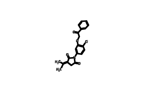 CC(C)=C1CC(=O)N(c2ccc(Cl)c(OCC(=O)c3ccccc3)c2)C1=O